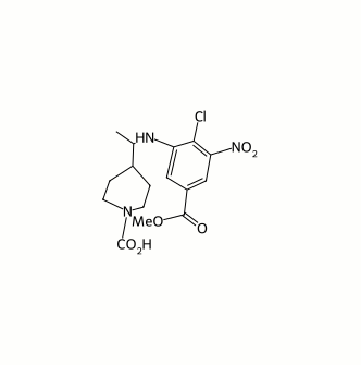 COC(=O)c1cc(NC(C)C2CCN(C(=O)O)CC2)c(Cl)c([N+](=O)[O-])c1